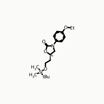 CCOc1ccc(N2C[C@@H](CCO[Si](C)(C)C(C)(C)C)OC2=O)cc1